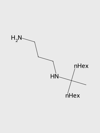 CCCCCCC(C)(CCCCCC)NCCCN